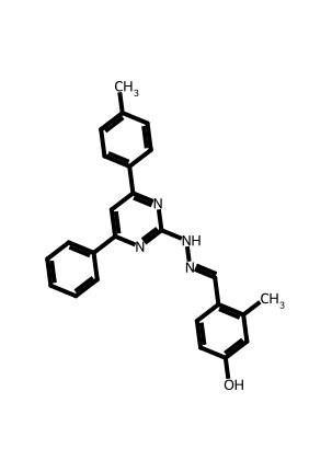 Cc1ccc(-c2cc(-c3ccccc3)nc(NN=Cc3ccc(O)cc3C)n2)cc1